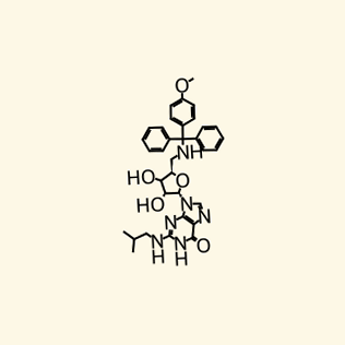 COc1ccc(C(NC[C@H]2O[C@@H](n3cnc4c(=O)[nH]c(NCC(C)C)nc43)[C@@H](O)C2O)(c2ccccc2)c2ccccc2)cc1